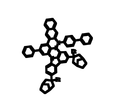 CCC1(c2ccc3c(c2)c2cc(C4(CC)CC5CCC(C5)C4)cc4c2n3-c2cc(-c3ccccc3)cc3c2B4N(c2ccc(-c4ccccc4)cc2)c2cc4ccccc4cc2-3)CC2CCC(C2)C1